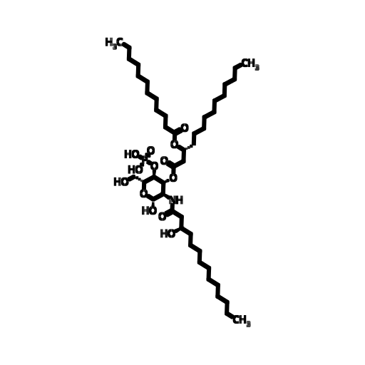 CCCCCCCCCCCC(=O)O[C@H](CCCCCCCCCCC)CC(=O)O[C@@H]1[C@@H](NC(=O)C[C@H](O)CCCCCCCCCCC)[C@H](O)O[C@H](CO)[C@H]1OP(=O)(O)O